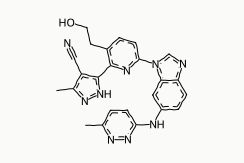 Cc1ccc(Nc2ccc3ncn(-c4ccc(CCO)c(-c5[nH]nc(C)c5C#N)n4)c3c2)nn1